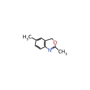 CC1=Nc2ccc(C)cc2CO1